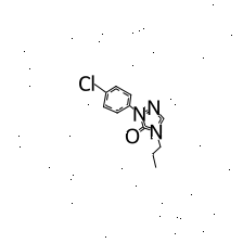 CCCn1cnn(-c2ccc(Cl)cc2)c1=O